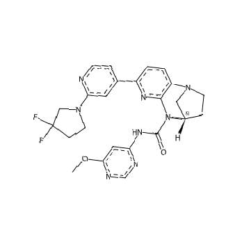 COc1cc(NC(=O)N2c3nc(-c4ccnc(N5CCC(F)(F)C5)c4)ccc3N3CC[C@H]2C3)ncn1